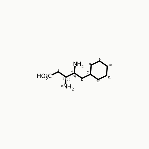 N[C@@H](CC(=O)O)[C@@H](N)CC1CCCCC1